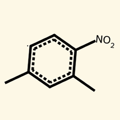 Cc1[c]cc([N+](=O)[O-])c(C)c1